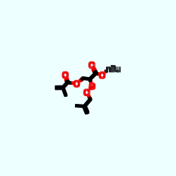 C=C(C)COOC(COC(=O)C(=C)C)C(=O)OCCCC